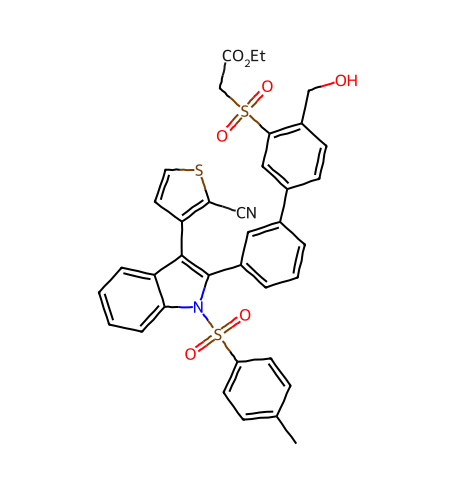 CCOC(=O)CS(=O)(=O)c1cc(-c2cccc(-c3c(-c4ccsc4C#N)c4ccccc4n3S(=O)(=O)c3ccc(C)cc3)c2)ccc1CO